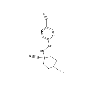 CC1CCC(C#N)(NNc2ccc(C#N)cc2)CC1